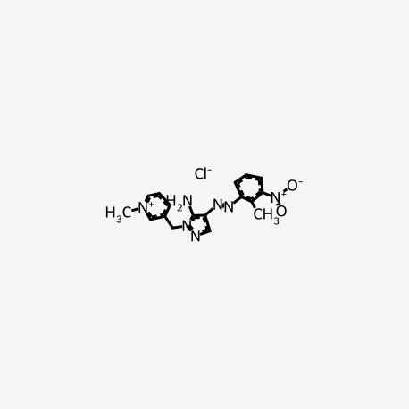 Cc1c(/N=N/c2cnn(Cc3ccc[n+](C)c3)c2N)cccc1[N+](=O)[O-].[Cl-]